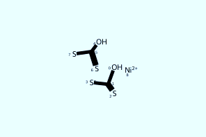 OC(=S)[S-].OC(=S)[S-].[Ni+2]